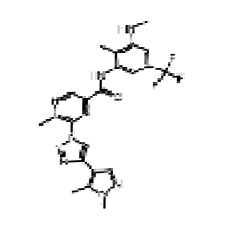 CNc1cc(C(F)(F)F)cc(NC(=O)c2cnc(C)c(-n3cc(-c4cnn(C)c4C)nn3)c2)c1C